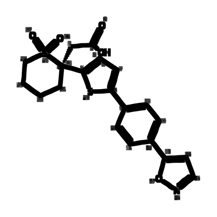 O=C(O)C[C@]1(c2ccc(-c3ccc(-c4ccno4)cc3)s2)CCCCS1(=O)=O